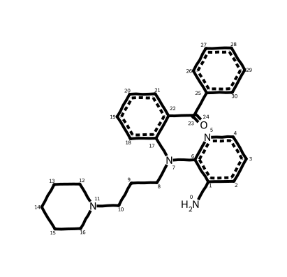 Nc1cccnc1N(CCCN1CCCCC1)c1ccccc1C(=O)c1ccccc1